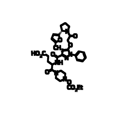 CCOC(=O)ON1CCN(C(=O)C(CCC(=O)O)NC(=O)c2cc(OCC(=O)N3CCC[C@H]3c3ccc(C)o3)n(-c3ccccc3)n2)CC1